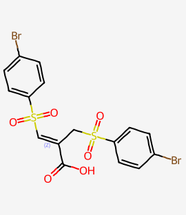 O=C(O)/C(=C/S(=O)(=O)c1ccc(Br)cc1)CS(=O)(=O)c1ccc(Br)cc1